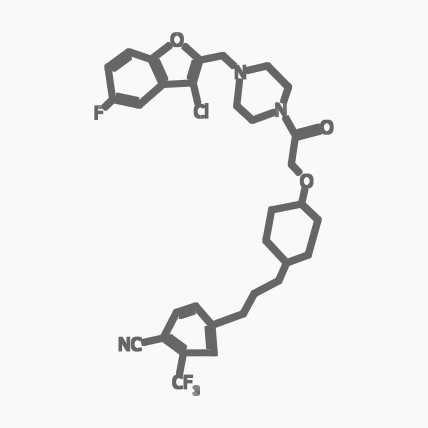 N#Cc1ccc(CCCC2CCC(OCC(=O)N3CCN(Cc4oc5ccc(F)cc5c4Cl)CC3)CC2)cc1C(F)(F)F